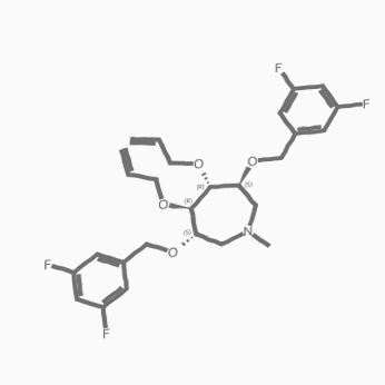 C=CCO[C@H]1[C@H](OCC=C)[C@@H](OCc2cc(F)cc(F)c2)CN(C)C[C@@H]1OCc1cc(F)cc(F)c1